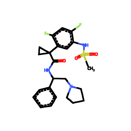 CS(=O)(=O)Nc1cc(C2(C(=O)NC(CN3CCCC3)c3ccccc3)CC2)c(F)cc1F